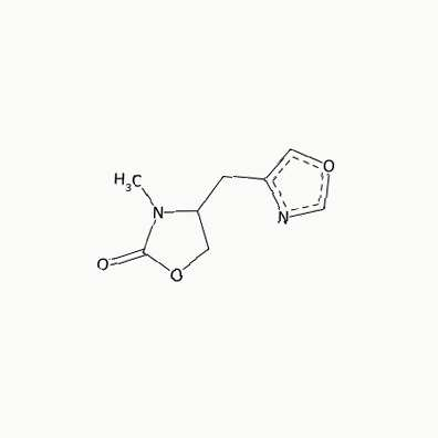 CN1C(=O)OCC1Cc1cocn1